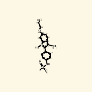 CCn1c(-c2ccc(NS(C)(=O)=O)cc2)c(N)c2ccc(OCCCl)cc21